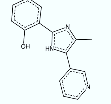 Cc1nc(-c2ccccc2O)[nH]c1-c1cccnc1